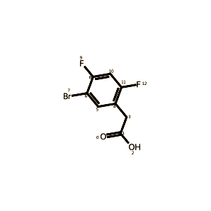 O=C(O)Cc1cc(Br)c(F)cc1F